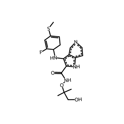 CSC1=CCC(Nc2c(C(=O)NOC(C)(C)CO)[nH]c3ccncc23)C(F)=C1